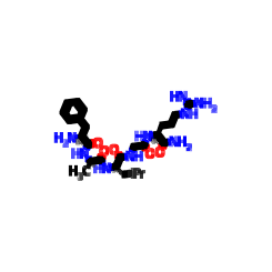 CC(C)C[C@H](NC(=O)[C@H](C)NC(=O)[C@@H](N)Cc1ccccc1)C(=O)NCC(=O)N[C@@H](CCCNC(=N)N)C(N)=O